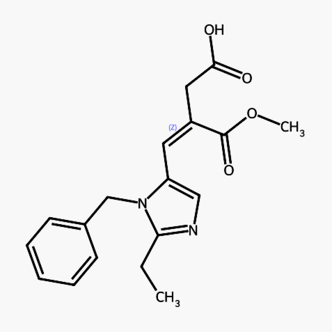 CCc1ncc(/C=C(/CC(=O)O)C(=O)OC)n1Cc1ccccc1